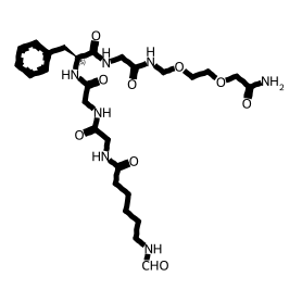 NC(=O)COCCOCNC(=O)CNC(=O)[C@H](Cc1ccccc1)NC(=O)CNC(=O)CNC(=O)CCCCCNC=O